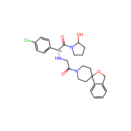 O=C(CN[C@@H](C(=O)N1CCCC1O)c1ccc(Cl)cc1)N1CCC2(CC1)OCc1ccccc12